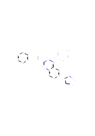 CN1CCN(c2nc(C3COc4ccccc4O3)nc3ccc(-c4cn[nH]c4)cc23)CC1